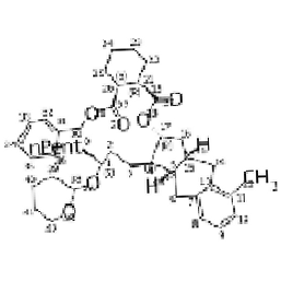 CCCCC[C@@H](CC[C@@H]1[C@H]2Cc3cccc(C)c3C[C@H]2C[C@H]1OC(=O)[C@@H]1CCCC[C@@H]1C(=O)OCc1ccccc1)OC1CCCCO1